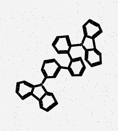 c1cc(-c2ccccc2-c2ccccc2-n2c3ccccc3c3ccccc32)cc(-n2c3ccccc3c3ccccc32)c1